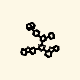 c1ccc(-c2cc(-c3ccc(C45CC6CC(CC(C6)C4)C5)cc3)cc(-c3nc(-c4ccc5c(c4)sc4ccccc45)nc(-c4cccc5c4oc4ccccc45)n3)c2)cc1